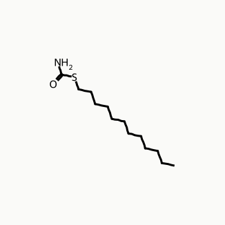 CCCCCCCCCCCCSC(N)=O